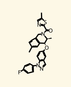 Cc1ccc2c(c1)[C@@H](Oc1ccc3c(cnn3-c3ccc(F)cc3)c1)[C@H](C)N(C(=O)c1ncc(C)s1)C2